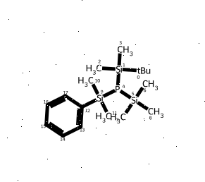 CC(C)(C)[Si](C)(C)P([Si](C)(C)C)[Si](C)(C)c1ccccc1